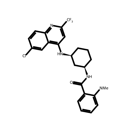 CNc1ccccc1C(=O)N[C@@H]1CCC[C@H](Nc2cc(C(F)(F)F)nc3ccc(Cl)cc23)C1